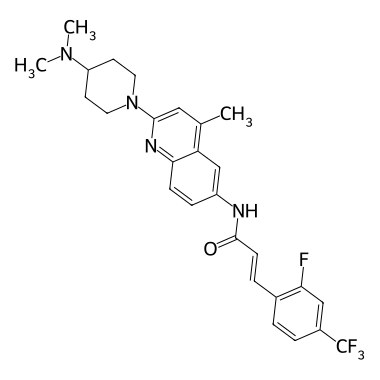 Cc1cc(N2CCC(N(C)C)CC2)nc2ccc(NC(=O)C=Cc3ccc(C(F)(F)F)cc3F)cc12